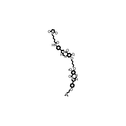 COc1cc2c(cc1OCCCCCOc1cc3c(cc1OC)C(=O)N1C=C(c4ccc(OCCCN(C)C)cc4)C[C@H]1C=N3)N=C[C@@H]1CC(c3ccc(NC(=O)CCCCCN4C(=O)C=CC4=O)cc3)=CN1C2=O